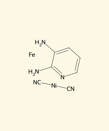 N#[C][Ni][C]#N.Nc1cccnc1N.[Fe]